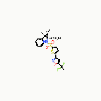 C[C@@H]1[C@](C)(c2ccccc2)[C@]1(NS(=O)(=O)c1ccc(-c2cc(C(C)(F)F)on2)s1)C(=O)O